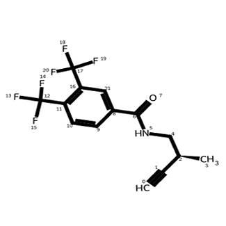 C#C[C@H](C)CNC(=O)c1ccc(C(F)(F)F)c(C(F)(F)F)c1